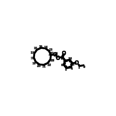 CCOc1cccc(C(=O)OO[C]2CCCCCCCCCCC2)c1